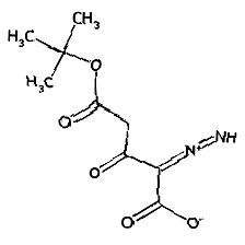 CC(C)(C)OC(=O)CC(=O)C(=[N+]=N)C(=O)[O-]